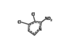 O=[N+]([O-])c1nccc(Cl)c1Cl